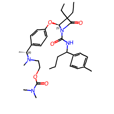 CCCC(NC(=O)N1C(=O)C(CC)(CC)[C@@H]1Oc1ccc([C@@H](C)N(C)CCOC(=O)N(C)C)cc1)c1ccc(C)cc1